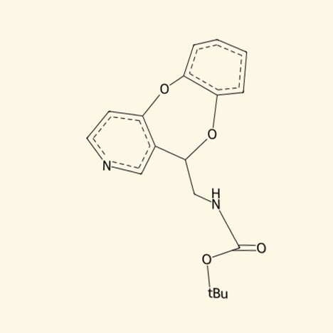 CC(C)(C)OC(=O)NCC1Oc2ccccc2Oc2ccncc21